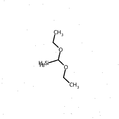 CCOC([SiH3])OCC.[H+]